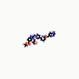 CC(C)(C)OC(=O)c1ccc2nc(CN3CCC(c4cccc(OCc5ccc6nccn6c5)n4)CC3)n(CC3CCO3)c2c1